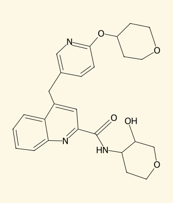 O=C(NC1CCOCC1O)c1cc(Cc2ccc(OC3CCOCC3)nc2)c2ccccc2n1